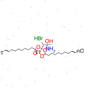 Br.CCCCCCCCC=CCCCCCCCC(=O)OC(CC)(OC(=O)CCCCCCCC=CCCCCCCCC)C(C)C(C)(N)O